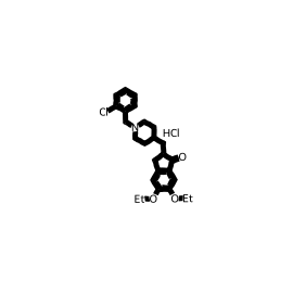 CCOc1cc2c(cc1OCC)C(=O)C(CC1CCN(Cc3ccccc3Cl)CC1)C2.Cl